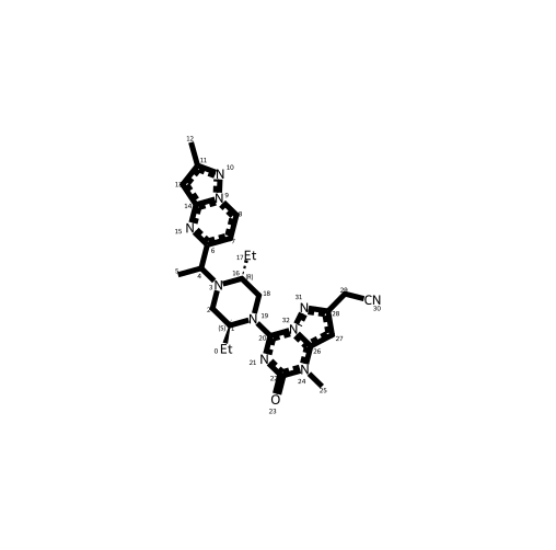 CC[C@H]1CN(C(C)c2ccn3nc(C)cc3n2)[C@H](CC)CN1c1nc(=O)n(C)c2cc(CC#N)nn12